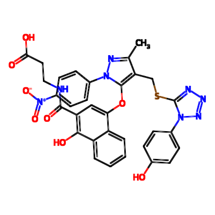 Cc1nn(-c2ccc([N+](=O)[O-])cc2)c(Oc2cc(C(=O)NCCC(=O)O)c(O)c3ccccc23)c1CSc1nnnn1-c1ccc(O)cc1